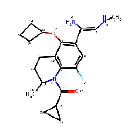 CN/C=C(\N)c1cc(F)c2c(c1OC1CCC1)CCC(C)N2C(=O)C1CC1